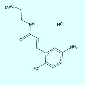 COCCNC(=O)C=Cc1cc(N)ccc1O.Cl